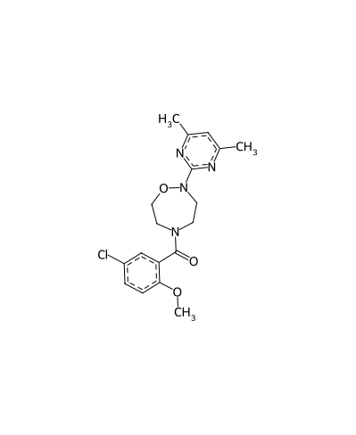 COc1ccc(Cl)cc1C(=O)N1CCON(c2nc(C)cc(C)n2)CC1